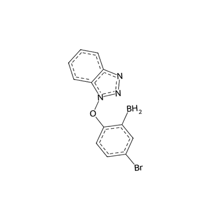 Bc1cc(Br)ccc1On1nnc2ccccc21